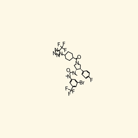 CN(C(=O)N(C)[C@@H]1CN(C(=O)C2CCC(n3nnnc3C(F)(F)F)CC2)C[C@H]1c1ccc(F)cc1)c1cc(Br)cc(C(F)(F)F)c1